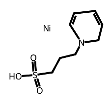 O=S(=O)(O)CCCN1C=CC=CC1.[Ni]